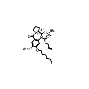 C=CCOC(=O)N1c2cc(OCCCCCI)c(OC)cc2C(=O)N2CCC[C@H]2C1O[Si](C)(C)C(C)(C)C